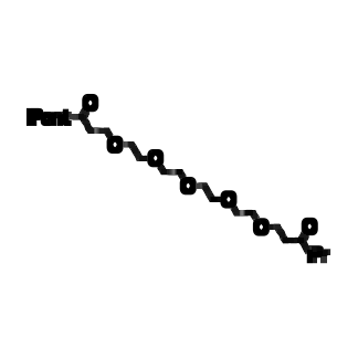 CCCC(C)C(=O)CCOCCOCCOCCOCCOCCC(=O)C(C)C